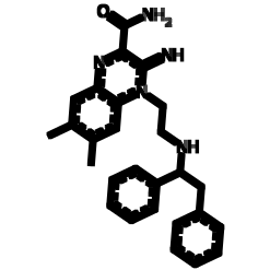 Cc1cc2nc(C(N)=O)c(=N)n(CCNC(Cc3ccccc3)c3ccccc3)c2cc1C